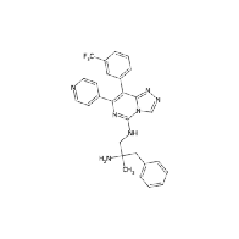 CC(N)(CNc1nc(-c2ccncc2)c(-c2cccc(C(F)(F)F)c2)c2nncn12)Cc1ccccc1